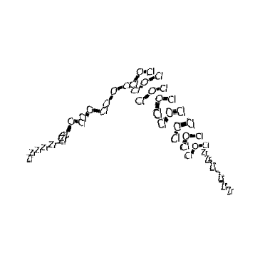 ClOCl.ClOCl.ClOCl.ClOCl.ClOCl.ClOCl.ClOCl.ClOCl.ClOCl.ClOCl.ClOCl.[Zr].[Zr].[Zr].[Zr].[Zr].[Zr].[Zr].[Zr].[Zr].[Zr].[Zr].[Zr]